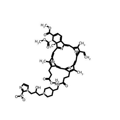 C=Cc1c(C)c2cc3nc(cc4[nH]c(cc5nc(cc1[nH]2)C(C)=C5CCC(=O)NCC1CCN(CC(O)Cn2ccnc2[N+](=O)[O-])CC1)c(CCC(=O)OC)c4C)[C@@]1(C)C3=CC=C(C(=O)OC)[C@H]1C(=O)OC